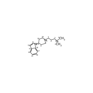 CN(C)CCCN1CCC(n2ccc3ccccc32)CC1